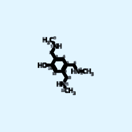 CNCc1cc(CNC)c(CNC)cc1O